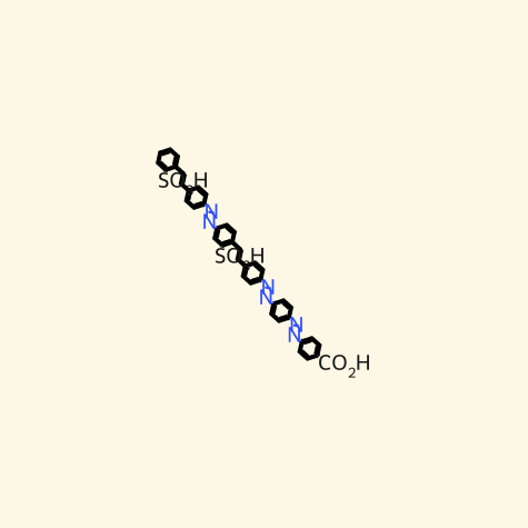 O=C(O)c1ccc(N=Nc2ccc(N=Nc3ccc(C=Cc4ccc(N=Nc5ccc(C=Cc6ccccc6S(=O)(=O)O)cc5)cc4S(=O)(=O)O)cc3)cc2)cc1